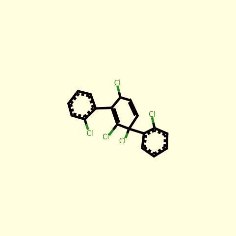 ClC1=C(c2ccccc2Cl)C(Cl)[C]=CC1(Cl)c1ccccc1Cl